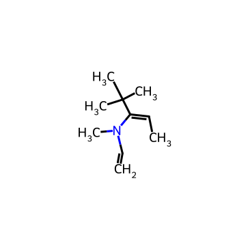 C=CN(C)/C(=C\C)C(C)(C)C